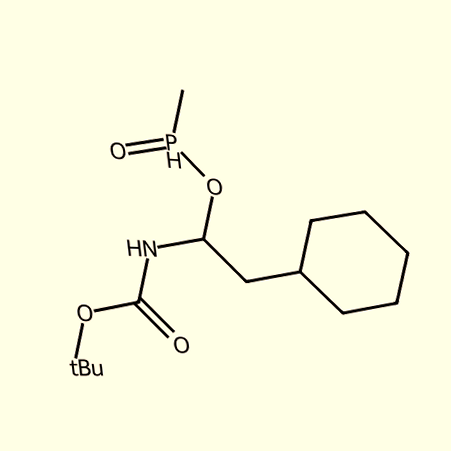 C[PH](=O)OC(CC1CCCCC1)NC(=O)OC(C)(C)C